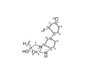 CC(C)(O)CN1CNc2ccc(-c3ccc(Cl)cc3F)cc21